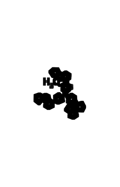 CC1(C)c2ccccc2-c2cccc(-c3ccc(N(c4ccc(-c5cccc6c5ccc5ccccc56)cc4)c4ccc5c(c4)C4(CCc6ccccc64)c4ccccc4-5)cc3)c21